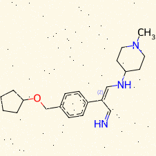 CN1CCC(N/C=C(\C=N)c2ccc(COC3CCCC3)cc2)CC1